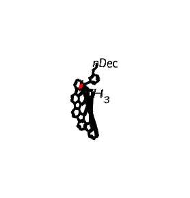 CCCCCCCCCCCCc1cccc(C2N(C)CC34C5=C6C=CC7C8C6=C3c3c6c9c%10c%11c(ccc%12c%13ccc%14c%15c(c3c9c(c%11%12)c%15%13)C24C=%14C=C5)C2C=CC7C(C=68)C%102)c1